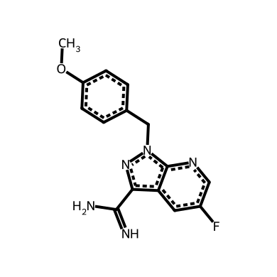 COc1ccc(Cn2nc(C(=N)N)c3cc(F)cnc32)cc1